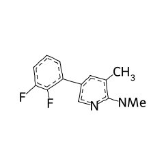 CNc1ncc(-c2cccc(F)c2F)cc1C